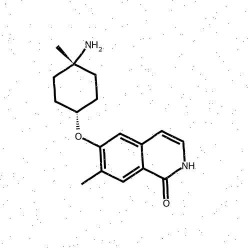 Cc1cc2c(=O)[nH]ccc2cc1O[C@H]1CC[C@@](C)(N)CC1